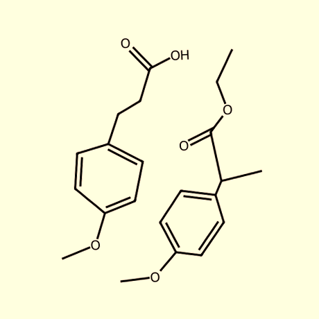 CCOC(=O)C(C)c1ccc(OC)cc1.COc1ccc(CCC(=O)O)cc1